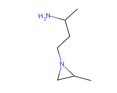 CC(N)CCN1CC1C